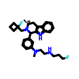 C[C@@H]1Cc2c([nH]c3ccccc23)C(c2cccc(N(C)CCNCCCF)c2)N1CC1(F)CCC1